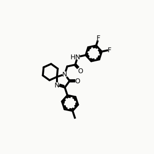 Cc1ccc(C2=NC3(CCCCC3)N(CC(=O)Nc3ccc(F)c(F)c3)C2=O)cc1